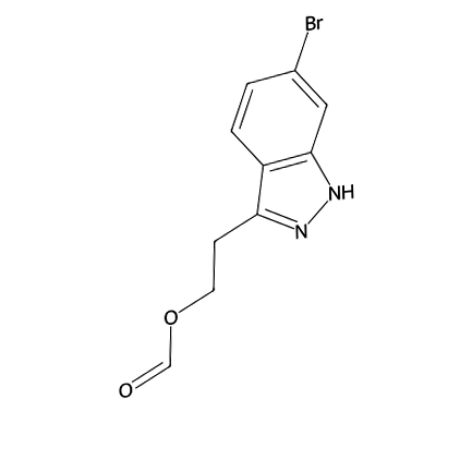 O=COCCc1n[nH]c2cc(Br)ccc12